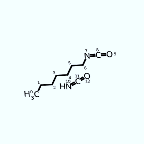 CCCCCCCN=C=O.N=C=O